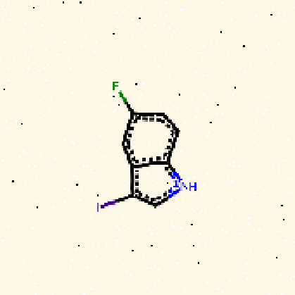 Fc1ccc2[nH]cc(I)c2c1